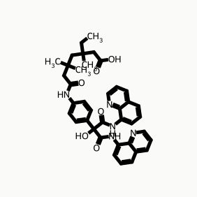 CCC(C)(CC(=O)O)CC(C)(C)CC(=O)Nc1ccc(C(O)(C(=O)Nc2cccc3cccnc23)C(=O)Nc2cccc3cccnc23)cc1